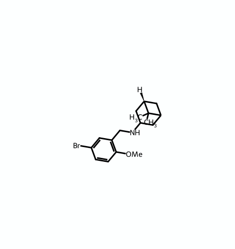 COc1ccc(Br)cc1CNC1CC2C[C@@H](C1)C2(C)C